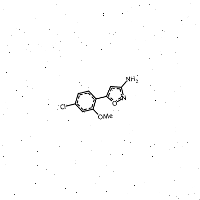 COc1cc(Cl)ccc1-c1cc(N)no1